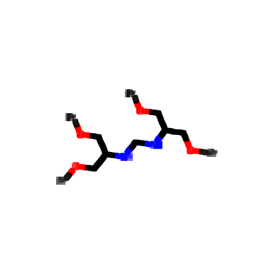 CC(C)OCC(COC(C)C)NCNC(COC(C)C)COC(C)C